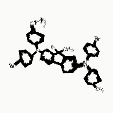 CCC1(C)c2cc(N(c3ccc(C)cc3)c3ccc(Br)cc3)ccc2-c2ccc(N(c3ccc(C)cc3)c3ccc(Br)cc3)cc21